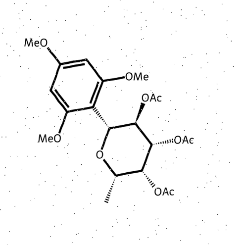 COc1cc(OC)c([C@H]2O[C@@H](C)[C@@H](OC(C)=O)[C@@H](OC(C)=O)[C@@H]2OC(C)=O)c(OC)c1